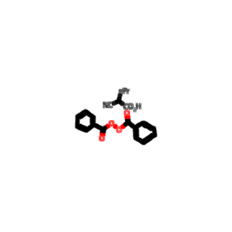 CCCC(C#N)C(=O)O.O=C(OOC(=O)c1ccccc1)c1ccccc1